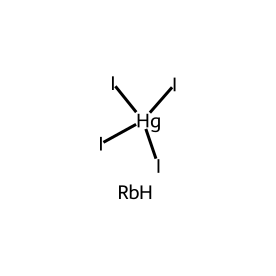 [I][Hg]([I])([I])[I].[RbH]